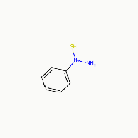 NN(S)c1ccccc1